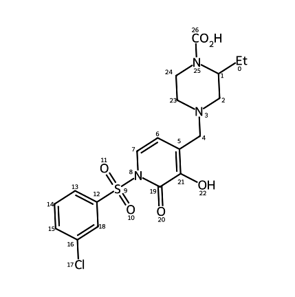 CCC1CN(Cc2ccn(S(=O)(=O)c3cccc(Cl)c3)c(=O)c2O)CCN1C(=O)O